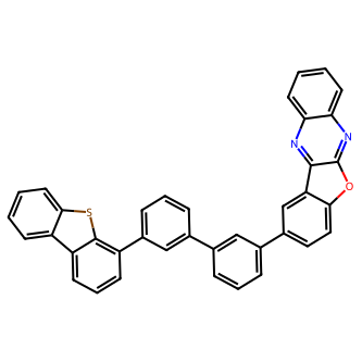 c1cc(-c2cccc(-c3cccc4c3sc3ccccc34)c2)cc(-c2ccc3oc4nc5ccccc5nc4c3c2)c1